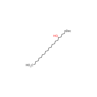 CCCCCCCCCCCCCC(O)CCCCCCCCCCCCCCCC(=O)O